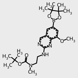 COc1cc(B2OC(C)(C)C(C)(C)O2)cc2cnc(NCCN(C)C(=O)OC(C)(C)C)nc12